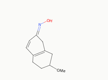 COC1CCC2=C(CC(=NO)C=C2)C1